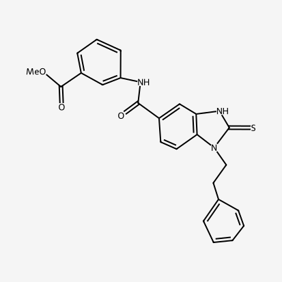 COC(=O)c1cccc(NC(=O)c2ccc3c(c2)[nH]c(=S)n3CCc2ccccc2)c1